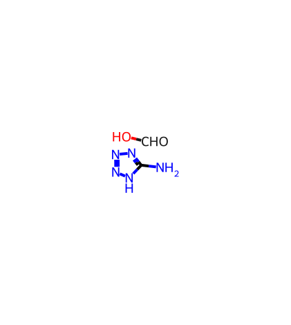 Nc1nnn[nH]1.O=CO